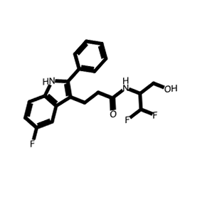 O=C(CCc1c(-c2ccccc2)[nH]c2ccc(F)cc12)NC(CO)C(F)F